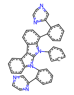 c1ccc(-n2c3c(-c4ccccc4-c4cnccn4)cccc3c3c4ccccc4n(-c4ccccc4-c4cnccn4)c32)cc1